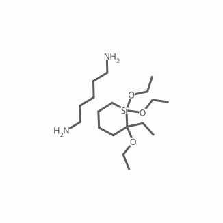 CCOC1(CC)CCCC[Si]1(OCC)OCC.NCCCCCN